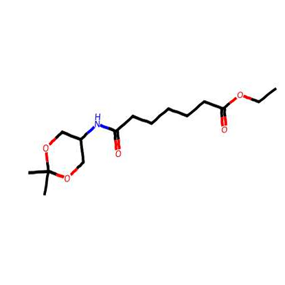 CCOC(=O)CCCCCC(=O)NC1COC(C)(C)OC1